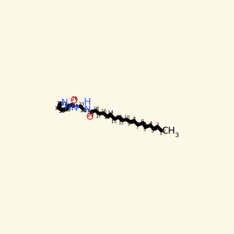 CCC=CCC=CCC=CCC=CCC=CCCCC(=O)NCCNC(=O)c1ccccn1